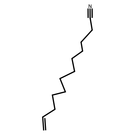 C=CCCCCCCCCCC#N